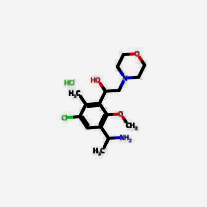 COc1c(C(C)N)cc(Cl)c(C)c1C(O)CN1CCOCC1.Cl